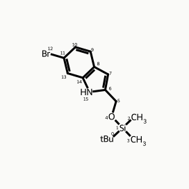 CC(C)(C)[Si](C)(C)OCc1cc2ccc(Br)cc2[nH]1